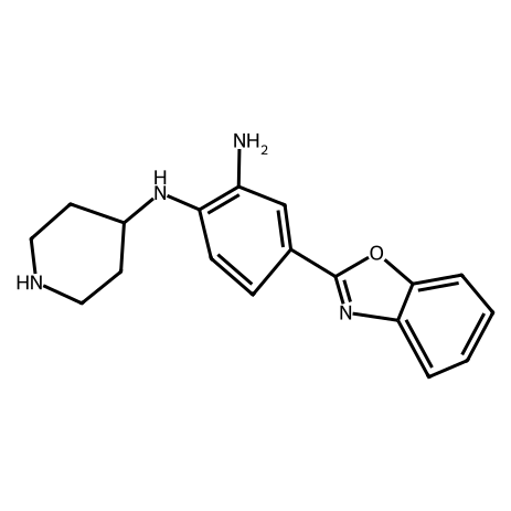 Nc1cc(-c2nc3ccccc3o2)ccc1NC1CCNCC1